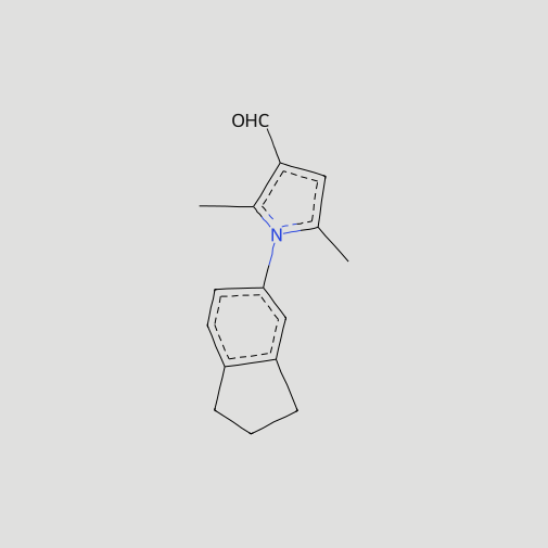 Cc1cc(C=O)c(C)n1-c1ccc2c(c1)CCC2